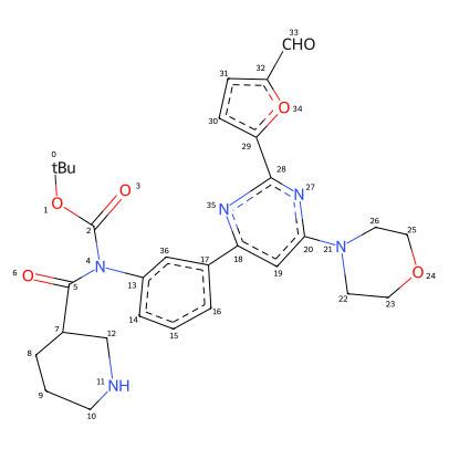 CC(C)(C)OC(=O)N(C(=O)C1CCCNC1)c1cccc(-c2cc(N3CCOCC3)nc(-c3ccc(C=O)o3)n2)c1